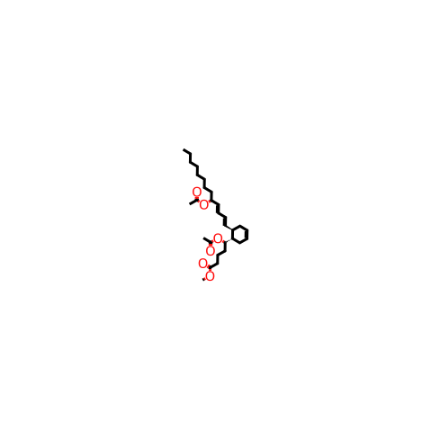 CCCCCCCCC(/C=C/C=C/[C@H]1CC=CC[C@@H]1C(CCCC(=O)OC)OC(C)=O)OC(C)=O